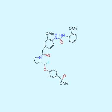 COC(=O)c1ccc(OC(F)[C@@H]2CCCN2C(=O)Cc2ccc(NC(=O)Nc3ccccc3OC)c(OC)c2)cc1